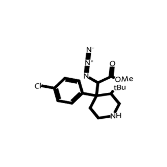 COC(=O)C(N=[N+]=[N-])C1(c2ccc(Cl)cc2)CCNCC1C(C)(C)C